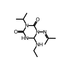 CCNC1NC(=O)N(C(C)C)C(=O)N1N=C(C)C